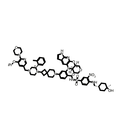 Cc1ccccc1[C@@H]1CN(Cc2cnc(N3CCOCC3)c(OC(C)C)c2)CCN1C1CC2(CCN(c3ccc(C(=O)NS(=O)(=O)c4ccc(NC[C@H]5CC[C@](C)(O)CC5)c([N+](=O)[O-])c4)c(N4c5cc6cc[nH]c6nc5O[C@H]5COCC[C@@H]54)c3)CC2)C1